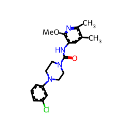 COc1nc(C)c(C)cc1NC(=O)N1CCN(c2cccc(Cl)c2)CC1